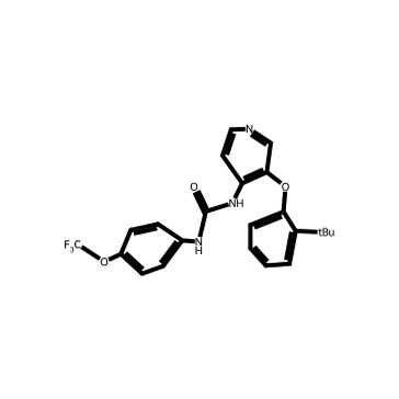 CC(C)(C)c1ccccc1Oc1cnccc1NC(=O)Nc1ccc(OC(F)(F)F)cc1